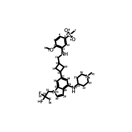 COc1ccc(S(C)(=O)=O)cc1NCC1CC(c2cc(NC3CCN(C)CC3)c3ccn(CC(F)(F)F)c3c2)C1